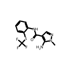 Cn1ncc(C(=O)Nc2ccccc2SC(F)(F)F)c1N